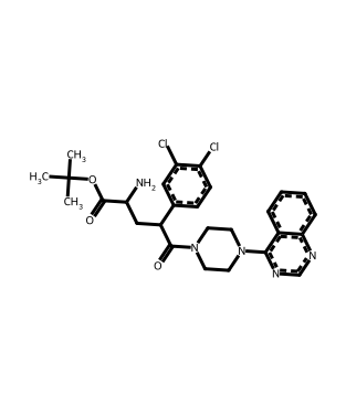 CC(C)(C)OC(=O)C(N)CC(C(=O)N1CCN(c2ncnc3ccccc23)CC1)c1ccc(Cl)c(Cl)c1